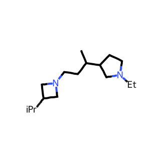 CCN1CCC(C(C)CCN2CC(C(C)C)C2)C1